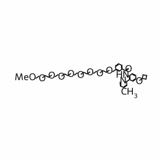 COCCOCCOCCOCCOCCOCCOCCOCCOCc1cccc(C(=O)Nc2ccc(OC3CCC3)cc2-c2cc(C)ccn2)c1